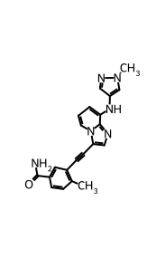 Cc1ccc(C(N)=O)cc1C#Cc1cnc2c(Nc3cnn(C)c3)cccn12